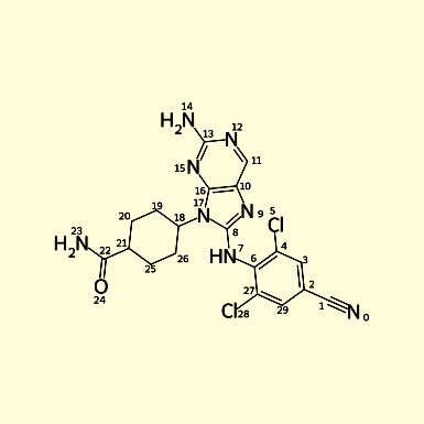 N#Cc1cc(Cl)c(Nc2nc3cnc(N)nc3n2C2CCC(C(N)=O)CC2)c(Cl)c1